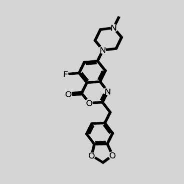 CN1CCN(c2cc(F)c3c(=O)oc(Cc4ccc5c(c4)OCO5)nc3c2)CC1